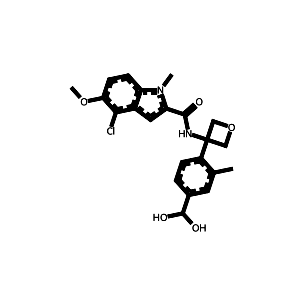 COc1ccc2c(cc(C(=O)NC3(c4ccc(C(O)O)cc4C)COC3)n2C)c1Cl